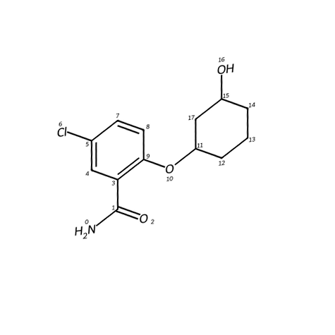 NC(=O)c1cc(Cl)ccc1OC1CCCC(O)C1